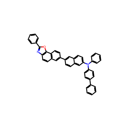 c1ccc(-c2ccc(N(c3ccccc3)c3ccc4cc(-c5ccc6c(ccc7nc(-c8ccccc8)oc76)c5)ccc4c3)cc2)cc1